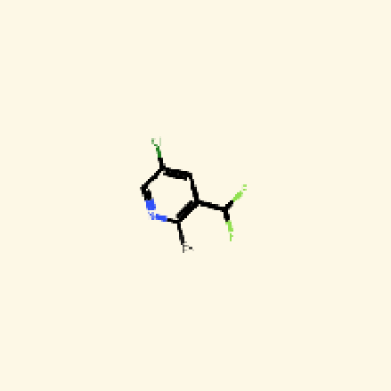 C[CH]c1ncc(Cl)cc1C(F)F